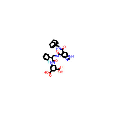 O=C(O)c1cc(NC(=O)C(CNC(=O)c2cc3nc[nH]c3cc2C(=O)NCC23CC4CC(CC(C4)C2)C3)c2ccccc2F)cc(C(=O)O)c1